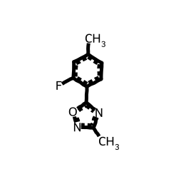 Cc1ccc(-c2nc(C)no2)c(F)c1